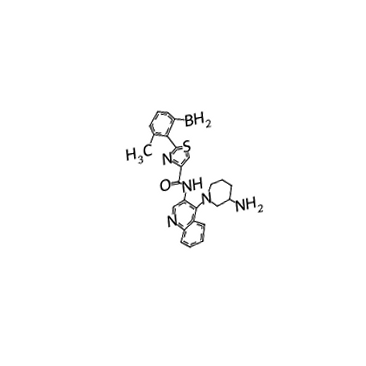 Bc1cccc(C)c1-c1nc(C(=O)Nc2cnc3ccccc3c2N2CCCC(N)C2)cs1